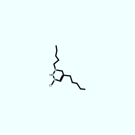 CCCCCC1=CN(Cl)NN(CCCCC)C1